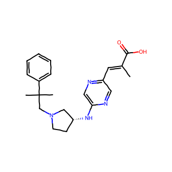 C/C(=C\c1cnc(N[C@@H]2CCN(CC(C)(C)c3ccccc3)C2)cn1)C(=O)O